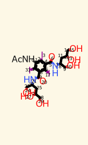 CC(=O)Nc1c(I)c(C(=O)NC(CO)CC(O)CO)c(I)c(C(=O)NC(CO)CC(O)CO)c1I